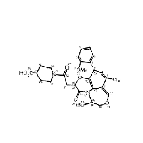 COc1ccccc1[C@@H]1C=C(Cl)C2=COC[C@@H](C(C)(C)C)N3C(=O)[C@@H](CC(=O)N4CCC(C(=O)O)CC4)OC1=C23